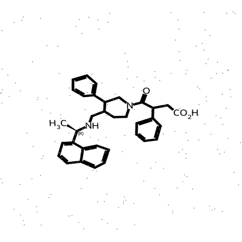 C[C@@H](NCC1CCN(C(=O)C(CC(=O)O)c2ccccc2)CC1c1ccccc1)c1cccc2ccccc12